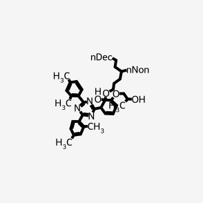 CCCCCCCCCCCCC(CCCCCCCCC)CCCOC1(O)C(OCC(C)O)=CC=CC1c1nc(-c2ccc(C)cc2C)nc(-c2ccc(C)cc2C)n1